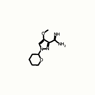 COc1cn(C2CCCCO2)nc1C(=N)N